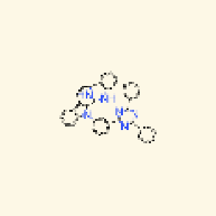 C1=CC2NC(Nc3ccccc32)c2c1c1ccccc1n2-c1cccc(-c2nc(-c3ccccc3)nc(-c3ccccc3)n2)c1